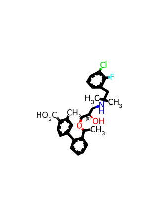 Cc1cc(-c2ccccc2C(C)OC[C@H](O)CNC(C)(C)Cc2cccc(Cl)c2F)ccc1C(=O)O